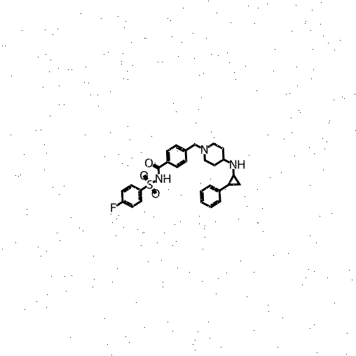 O=C(NS(=O)(=O)c1ccc(F)cc1)c1ccc(CN2CCC(NC3CC3c3ccccc3)CC2)cc1